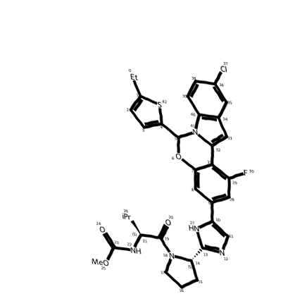 CCc1ccc(C2Oc3cc(-c4cnc([C@@H]5CCCN5C(=O)[C@@H](NC(=O)OC)C(C)C)[nH]4)cc(F)c3-c3cc4cc(Cl)ccc4n32)s1